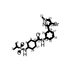 CC(C)S(=O)(=O)NC1CCC(C(=O)Nc2cccc(-c3nn(C)cc3Br)c2)CC1